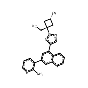 N#CC[C@]1(n2ncc(-c3cc(-c4cccnc4N)cc4ncccc34)n2)C[C@@H](C#N)C1